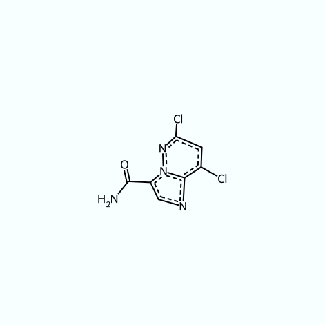 NC(=O)c1cnc2c(Cl)cc(Cl)nn12